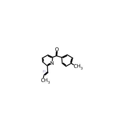 C/C=C/c1cccc(C(=O)c2ccc(C)cc2)n1